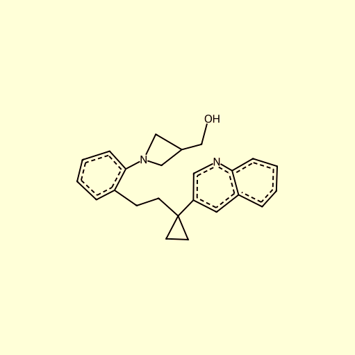 OCC1CN(c2ccccc2CCC2(c3cnc4ccccc4c3)CC2)C1